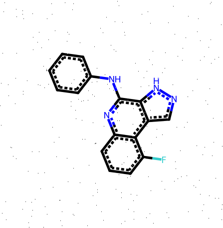 Fc1cccc2nc(Nc3cc[c]cc3)c3[nH]ncc3c12